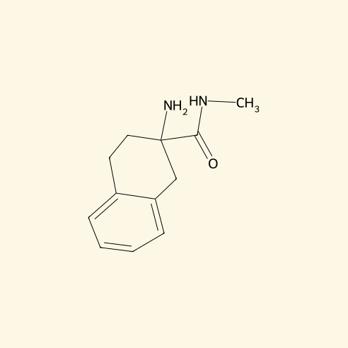 CNC(=O)C1(N)CCc2ccccc2C1